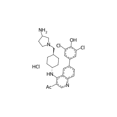 CC(=O)c1cnc2ccc(-c3cc(Cl)c(O)c(Cl)c3)cc2c1N[C@H]1CC[C@H](CN2CCC(N)C2)CC1.Cl